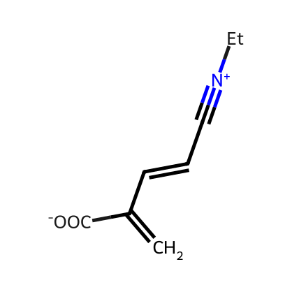 C=C(C=CC#[N+]CC)C(=O)[O-]